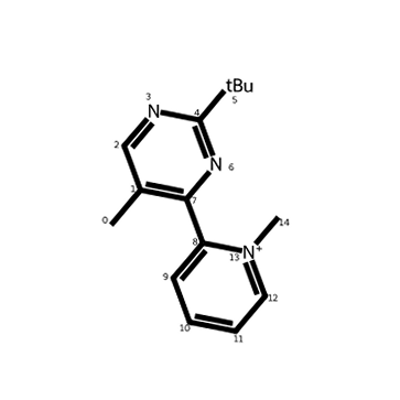 Cc1cnc(C(C)(C)C)nc1-c1cccc[n+]1C